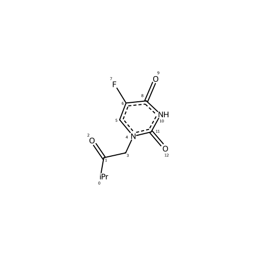 CC(C)C(=O)Cn1cc(F)c(=O)[nH]c1=O